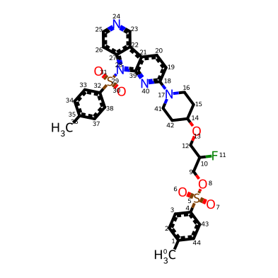 Cc1ccc(S(=O)(=O)OCC(F)COC2CCN(c3ccc4c5cnccc5n(S(=O)(=O)c5ccc(C)cc5)c4n3)CC2)cc1